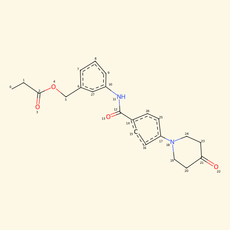 CCC(=O)OCc1cccc(NC(=O)c2ccc(N3CCC(=O)CC3)cc2)c1